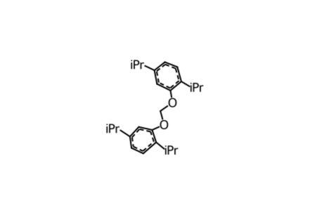 CC(C)c1ccc(C(C)C)c(OCOc2cc(C(C)C)ccc2C(C)C)c1